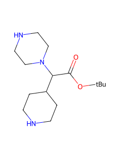 CC(C)(C)OC(=O)C(C1CCNCC1)N1CCNCC1